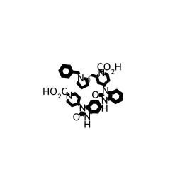 O=C(O)N1CCC(n2c(=O)[nH]c3ccccc32)CC1.O=C(O)N1CCC(n2c(=O)[nH]c3ccccc32)CC1C[C@@H]1CCCN1Cc1ccccc1